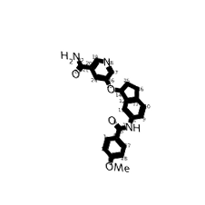 COc1ccc(C(=O)Nc2ccc3c(c2)C(Oc2cncc(C(N)=O)c2)CC3)cc1